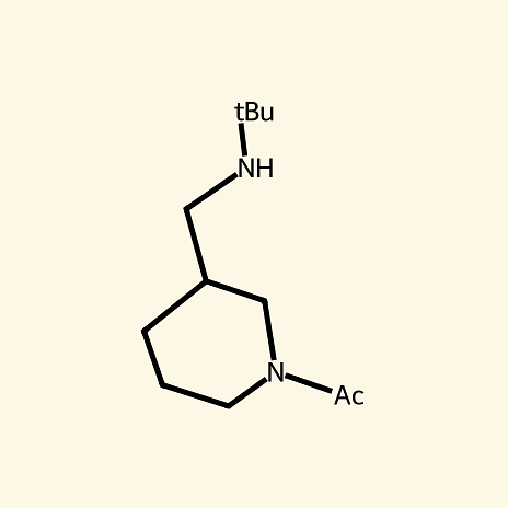 CC(=O)N1CCCC(CNC(C)(C)C)C1